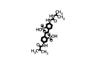 CC(C)NC(=O)Nc1ccc(C=Cc2ccc(NC(=O)C(C)C)cc2S(=O)(=O)O)c(S(=O)(=O)O)c1